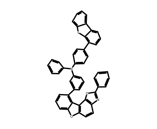 c1ccc(-c2nc3ccc4oc5cccc(-c6cccc(N(c7ccccc7)c7ccc(-c8cccc9c8sc8ccccc89)cc7)c6)c5c4c3o2)cc1